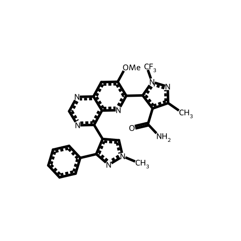 COc1cc2ncnc(-c3cn(C)nc3-c3ccccc3)c2nc1-c1c(C(N)=O)c(C)nn1C(F)(F)F